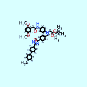 COc1ccc(OC)c(CC(=O)Nc2ccc(N(CC(=O)OC(C)(C)C)Cc3ccc(-c4nc(-c5ccc(-c6ccc(C)cc6)cc5)no4)cc3)cc2)c1